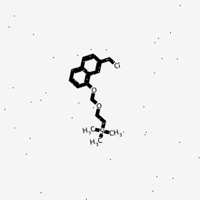 C[Si](C)(C)CCOCOc1cccc2ccc(CCl)cc12